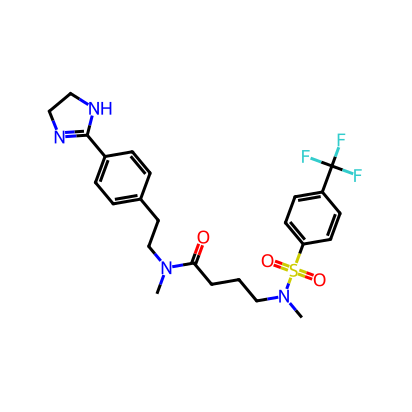 CN(CCc1ccc(C2=NCCN2)cc1)C(=O)CCCN(C)S(=O)(=O)c1ccc(C(F)(F)F)cc1